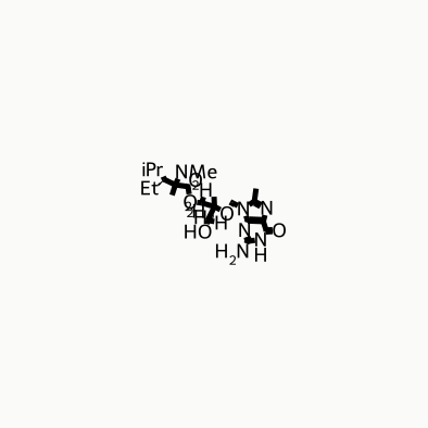 [2H]C([2H])(O)C(C)(OCn1c(C)nc2c(=O)[nH]c(N)nc21)C([2H])([2H])OC(=O)C(C)(NC)[C@H](CC)C(C)C